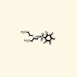 CCCC[C@@H](CC)CNS(=O)(=O)c1c(F)c(F)c(F)c(F)c1F